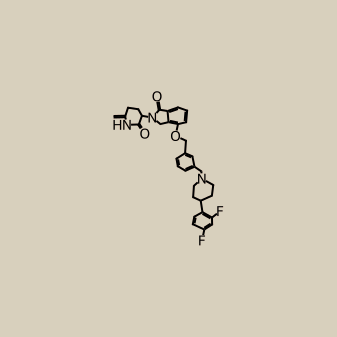 C=C1CCC(N2Cc3c(OCc4cccc(CN5CCC(c6ccc(F)cc6F)CC5)c4)cccc3C2=O)C(=O)N1